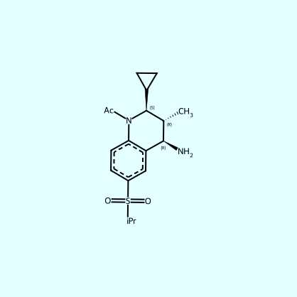 CC(=O)N1c2ccc(S(=O)(=O)C(C)C)cc2[C@H](N)[C@@H](C)[C@@H]1C1CC1